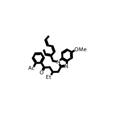 C\C=C/C=C\C(=C/C)Cn1c(CC(CC)CC(=O)c2ccccc2C(C)=O)nc2cc(OC)ccc21